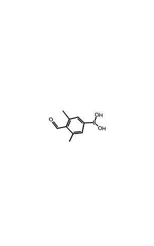 Cc1cc(B(O)O)cc(C)c1C=O